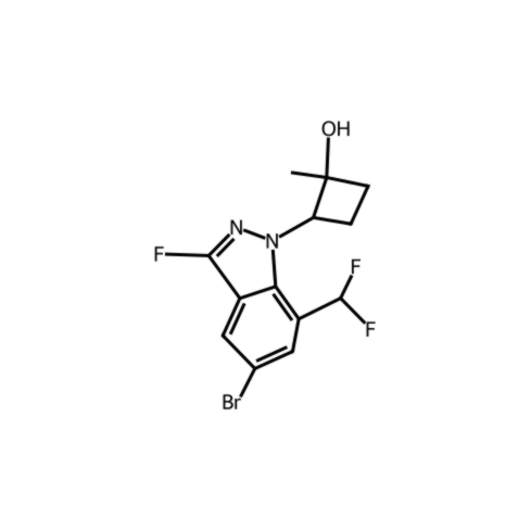 CC1(O)CCC1n1nc(F)c2cc(Br)cc(C(F)F)c21